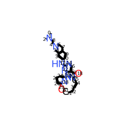 CN(C)CCN1CCc2ccc(Nc3ncc4c(=O)n5n(c4n3)-c3cccc(n3)OCCC/C=C/C5)cc2C1